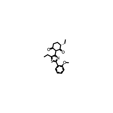 CCc1sc(-c2ccccc2OC)nc1C1C(=O)CC[C@H](CC)C1=O